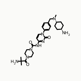 CN(Cc1ccc(-n2ccc(NC(=O)N3CCN(C(=O)C(C)(C)N)CC3)nc2=O)cc1)[C@H]1CC[C@@H](N)CC1